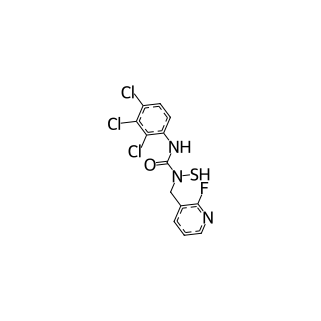 O=C(Nc1ccc(Cl)c(Cl)c1Cl)N(S)Cc1cccnc1F